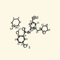 CN1CCCC[C@@H]1COc1ccc(C(F)(F)F)cc1C(=O)/N=c1\sc(C(C)(C)C)cn1C[C@H]1CCCO1